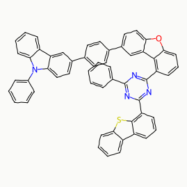 c1ccc(-c2nc(-c3cccc4c3sc3ccccc34)nc(-c3cccc4oc5ccc(-c6ccc(-c7ccc8c(c7)c7ccccc7n8-c7ccccc7)cc6)cc5c34)n2)cc1